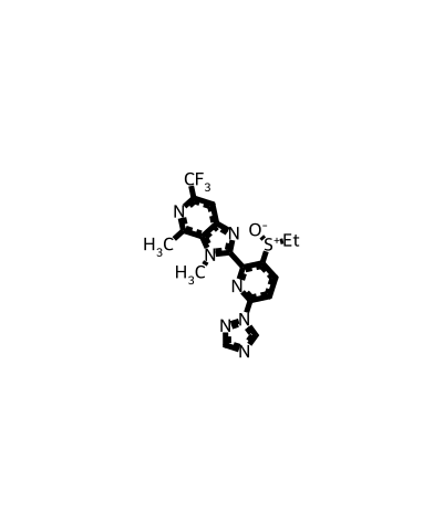 CC[S+]([O-])c1ccc(-n2cncn2)nc1-c1nc2cc(C(F)(F)F)nc(C)c2n1C